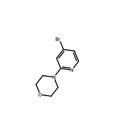 Brc1ccnc(N2CCOCC2)c1